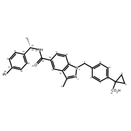 Cc1nn(Cc2ccc(C3(C(=O)O)CC3)cc2)c2ccc(C(=O)N[C@@H](C)c3ccc(C(C)C)cc3)cc12